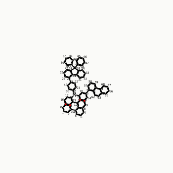 c1ccc(-c2cccc3cccc(-c4ccccc4N(c4ccc(-c5cccc6c5-c5ccccc5C6(c5ccccc5)c5ccccc5)cc4)c4cccc(-c5cccc6c5ccc5ccccc56)c4)c23)cc1